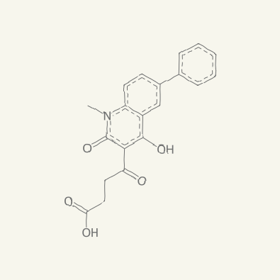 Cn1c(=O)c(C(=O)CCC(=O)O)c(O)c2cc(-c3ccccc3)ccc21